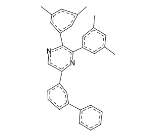 Cc1cc(C)cc(-c2ncc(-c3cccc(-c4ccccc4)c3)nc2-c2cc(C)cc(C)c2)c1